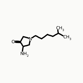 CC(C)CCCCN1CC(=O)C(N)C1